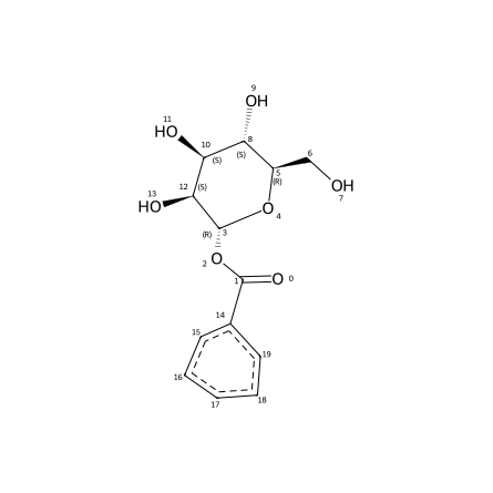 O=C(O[C@H]1O[C@H](CO)[C@@H](O)[C@H](O)[C@@H]1O)c1ccccc1